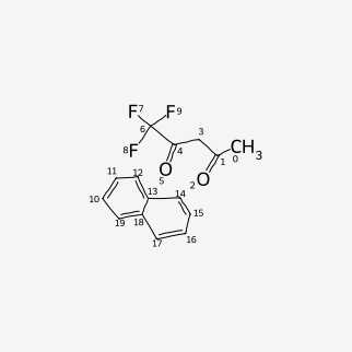 CC(=O)CC(=O)C(F)(F)F.c1ccc2ccccc2c1